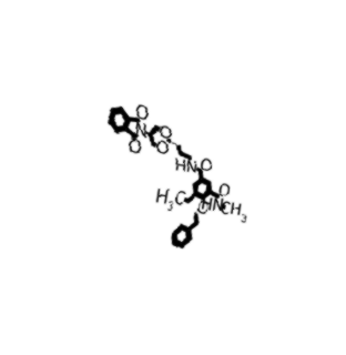 CCc1cc(C(=O)NCCC[C@H]2OC[C@H](N3C(=O)c4ccccc4C3=O)CO2)cc(C(=O)NC)c1OCCc1ccccc1